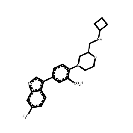 O=C(O)c1cc(-c2csc3cc(C(F)(F)F)ccc23)ccc1N1CCO[C@H](CNC2CCC2)C1